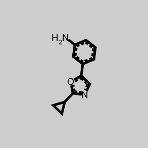 Nc1cccc(-c2cnc(C3CC3)o2)c1